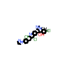 Cn1cncc1C(O)(c1ccc(Cl)cc1)c1ccc2nc(Cl)c(Cc3ccc(-n4cccn4)cc3)c(Cl)c2c1